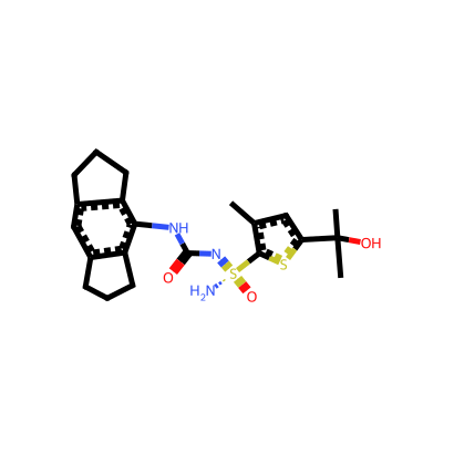 Cc1cc(C(C)(C)O)sc1[S@@](N)(=O)=NC(=O)Nc1c2c(cc3c1CCC3)CCC2